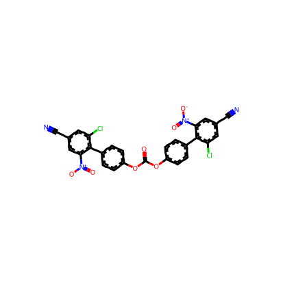 N#Cc1cc(Cl)c(-c2ccc(OC(=O)Oc3ccc(-c4c(Cl)cc(C#N)cc4[N+](=O)[O-])cc3)cc2)c([N+](=O)[O-])c1